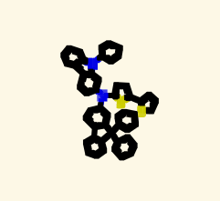 c1ccc(-n2c3ccccc3c3ccc(N(c4ccc5c(c4)C(c4ccccc4)(c4ccccc4)c4ccccc4-5)c4ccc(-c5cccs5)s4)cc32)cc1